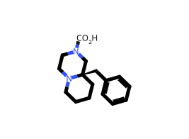 O=C(O)N1CCN2CCCC[C@@]2(Cc2ccccc2)C1